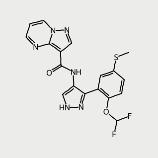 CSc1ccc(OC(F)F)c(-c2n[nH]cc2NC(=O)c2cnn3cccnc23)c1